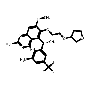 COc1cc2nc(C)nc(N)c2c([C@H](C)c2cc(N)cc(C(F)(F)F)c2)c1OCCOC1CCOC1